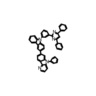 c1ccc(-c2cc(-c3ccccc3)nc(-c3cccc(-n4c5ccccc5c5cc(-c6ccc7c8ncccc8n(-c8ccccc8)c7c6)ccc54)c3)n2)cc1